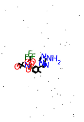 Cc1ccc(S(=O)(=O)N(CC2(C)COC2)OC(=O)C(F)(F)F)cc1-c1cnc2c(N)nccn12